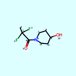 CC(F)(F)C(=O)N1CCC(O)CC1